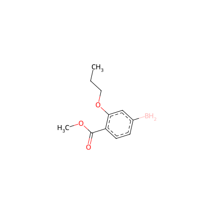 Bc1ccc(C(=O)OC)c(OCCC)c1